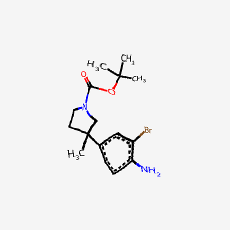 CC(C)(C)OC(=O)N1CCC(C)(c2ccc(N)c(Br)c2)C1